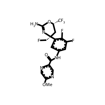 COc1cnc(C(=O)Nc2cc(F)c(F)c([C@]3(CF)C[C@@H](C(F)(F)F)OC(N)=N3)c2)cn1